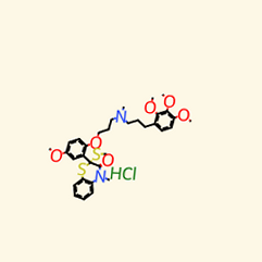 COc1ccc(OCCCN(C)CCCc2ccc(OC)c(OC)c2OC)c(C2(SC)Sc3ccccc3N(C)C2=O)c1.Cl